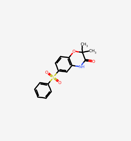 CC1(C)Oc2ccc(S(=O)(=O)c3ccccc3)cc2NC1=O